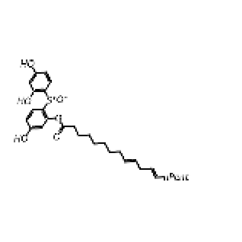 CCCCCC=CCC=CCCCCCCCC(=O)Oc1cc(O)ccc1[S+]([O-])c1ccc(O)cc1O